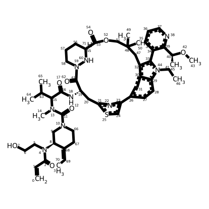 C=CC(=O)N(CCO)[C@H]1CN(C(=O)N(C)C(C(=O)N[C@H]2Cc3nc(cs3)-c3ccc4c(c3)c(c(-c3cccnc3[C@H](C)OC)n4CC)CC(C)(C)COC(=O)[C@@H]3CCCN(N3)C2=O)C(C)C)CC/C1=C/C